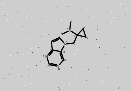 CN(C)C1(Cn2ccc3ncncc32)CC1